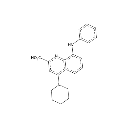 O=C(O)c1cc(N2CCCCC2)c2cccc(Nc3ccccc3)c2n1